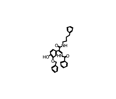 O=C(NCCCCc1ccccc1)C(=CNC(=O)c1ccccc1)c1ccc(O)c(OCc2ccccc2)c1